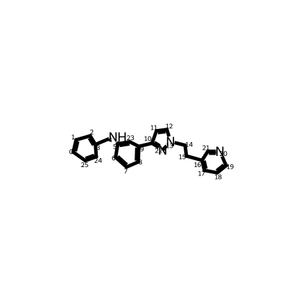 c1ccc(Nc2cccc(-c3ccn(CCc4cccnc4)n3)c2)cc1